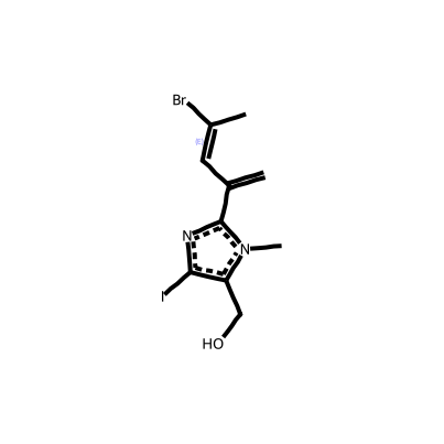 C=C(/C=C(\C)Br)c1nc(I)c(CO)n1C